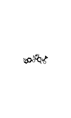 C[C@H]1Cc2c(ncnc2Oc2ccc3c(ccn3C)c2)CN1C(=O)C1CC1